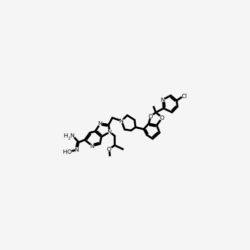 COC(C)Cn1c(CN2CCC(c3cccc4c3OC(C)(c3ccc(Cl)cn3)O4)CC2)nc2cc(C(N)=NO)ncc21